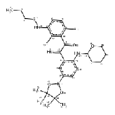 CCCSNc1ccc(F)c(C(=O)C(=N)c2cc(B3OC(C)(C)C(C)(C)O3)cnc2NC2CCCCO2)c1F